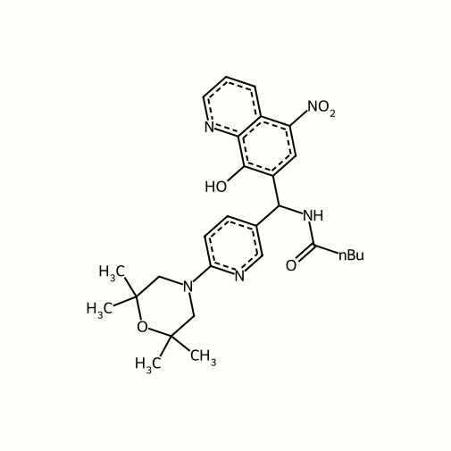 CCCCC(=O)NC(c1ccc(N2CC(C)(C)OC(C)(C)C2)nc1)c1cc([N+](=O)[O-])c2cccnc2c1O